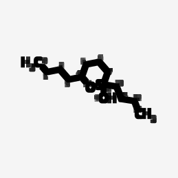 CCCCC1CCC[Si](O)(CCCC)O1